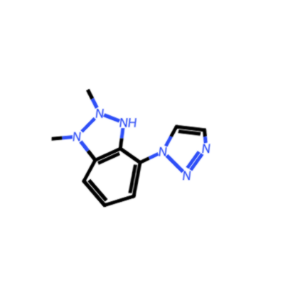 CN1Nc2c(cccc2-n2ccnn2)N1C